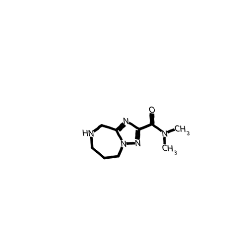 CN(C)C(=O)c1nc2n(n1)CCCNC2